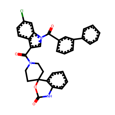 O=C1Nc2ccccc2C2(CCN(C(=O)c3cn(C(=O)c4cccc(-c5ccccc5)c4)c4cc(Cl)ccc34)CC2)O1